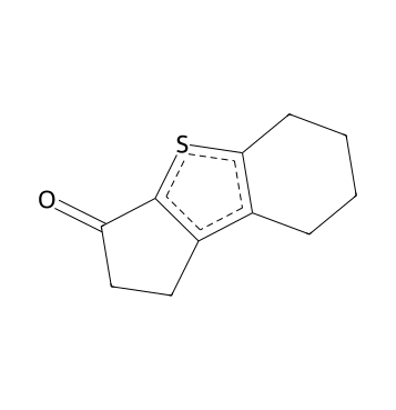 O=C1CCc2c1sc1c2CCCC1